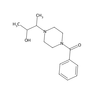 CC(O)C(C)N1CCN(C(=O)c2ccccc2)CC1